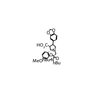 CCCCN(CCCC)S(=O)(=O)CN1CC(c2ccc3c(c2)OCO3)[C@H](C(=O)O)[C@H]1c1ccc(OC)cc1